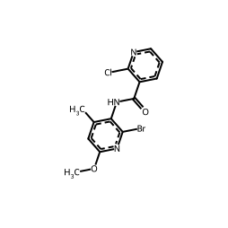 COc1cc(C)c(NC(=O)c2cccnc2Cl)c(Br)n1